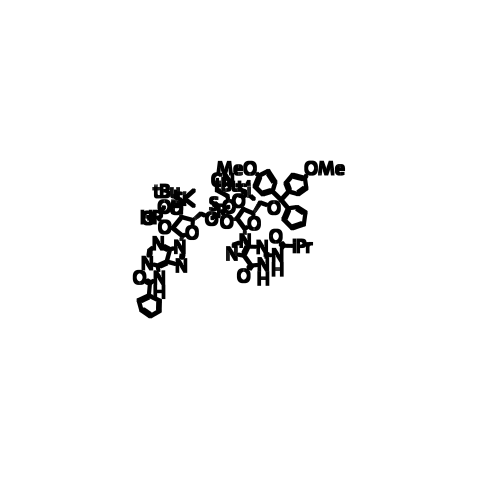 COc1ccc(C(OC[C@H]2O[C@@H](n3cnc4c(=O)[nH]c(NC(=O)C(C)C)nc43)[C@H](OP(=S)(OCCC#N)OC[C@H]3O[C@@H](n4cnc5c(NC(=O)c6ccccc6)ncnc54)[C@H](O[PH](=O)O)[C@@H]3O[Si](C)(C)C(C)(C)C)[C@@H]2O[Si](C)(C)C(C)(C)C)(c2ccccc2)c2ccc(OC)cc2)cc1